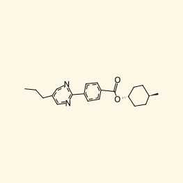 CCCc1cnc(-c2ccc(C(=O)O[C@H]3CC[C@H](C)CC3)cc2)nc1